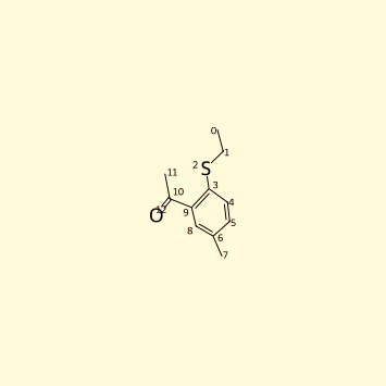 CCSc1ccc(C)cc1C(C)=O